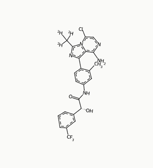 [2H]C([2H])([2H])c1nc(-c2ccc(NC(=O)[C@H](O)c3cccc(C(F)(F)F)c3)cc2C)c2c(N)ncc(Cl)n12